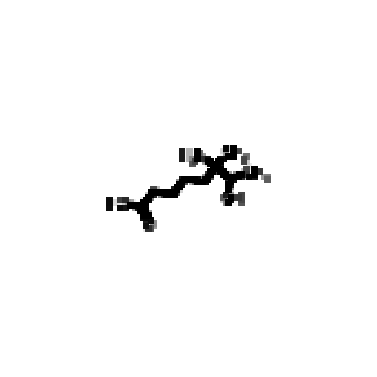 CC(O)C(C)(N)CCCCC(=O)O